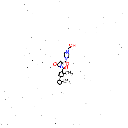 Cc1cc(-c2ccccc2C)ccc1C(=O)N1CC(=O)C[C@@H]1C(=O)N1CCN(CCO)CC1